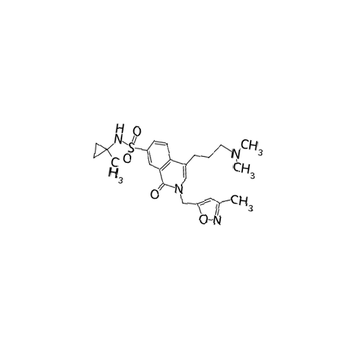 Cc1cc(Cn2cc(CCCN(C)C)c3ccc(S(=O)(=O)NC4(C)CC4)cc3c2=O)on1